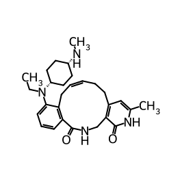 CCN(c1cccc2c1CC=CCCc1cc(C)[nH]c(=O)c1CNC2=O)[C@H]1CC[C@@H](NC)CC1